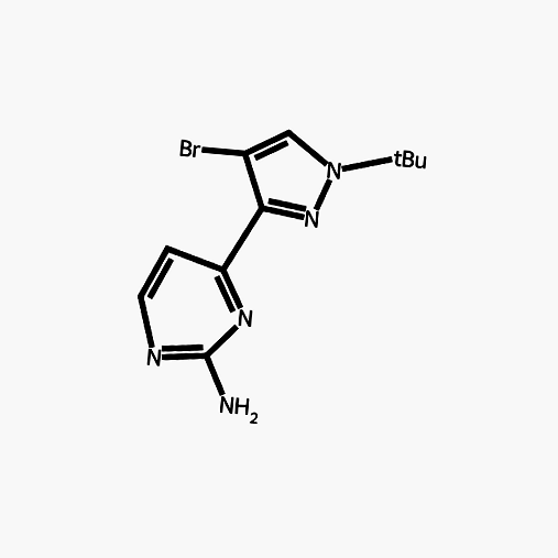 CC(C)(C)n1cc(Br)c(-c2ccnc(N)n2)n1